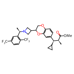 COC(=O)[C@@H](C)[C@H](c1ccc2c(c1)OC(C1CN([C@H](C)c3cc(C(F)(F)F)ccc3C(F)(F)F)C1)CO2)C1CC1